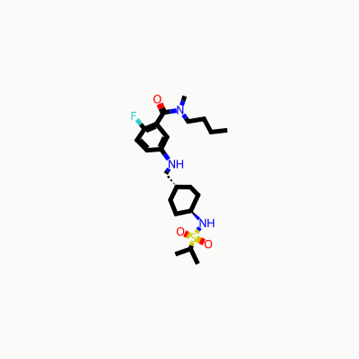 CCCCN(C)C(=O)c1cc(NC[C@H]2CC[C@H](NS(=O)(=O)C(C)C)CC2)ccc1F